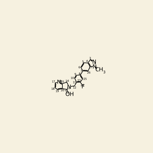 Cn1ncc2ccc(-c3ccc(CN4Cc5ncccc5C4O)c(F)c3)cc21